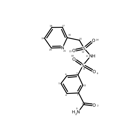 NC(=O)c1cccc(S(=O)(=O)NS(=O)(=O)Cc2ccccn2)c1